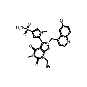 CC(C)Cn1c(=O)n(C)c(=O)c2c(-c3cc(S(N)(=O)=O)cn3C)n(Cc3ccnc4ccc(Cl)cc34)nc21